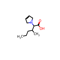 CCCC(C)C(C(=O)O)N1CC=CC1